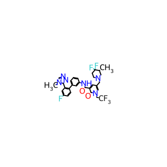 CC1CN(Cc2cc(C(=O)Nc3cccc(-c4ccc(F)cc4-c4nncn4C)c3)c(=O)n(CC(F)(F)F)c2)CCC1(F)F